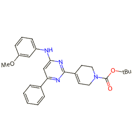 COc1cccc(Nc2cc(-c3ccccc3)nc(C3=CCN(C(=O)OC(C)(C)C)CC3)n2)c1